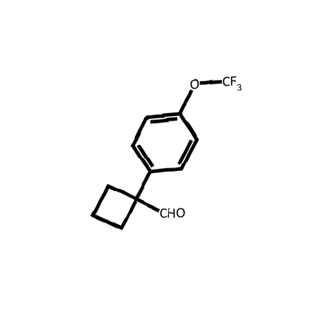 O=CC1(c2ccc(OC(F)(F)F)cc2)CCC1